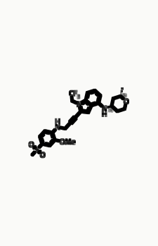 COc1cc(S(C)(=O)=O)ccc1NCC#Cc1cc2c(N[C@H]3CCO[C@@H](C)C3)cccc2n1CC(F)(F)F